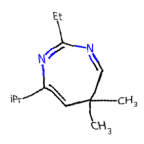 CCC1=NC(C(C)C)=CC(C)(C)C=N1